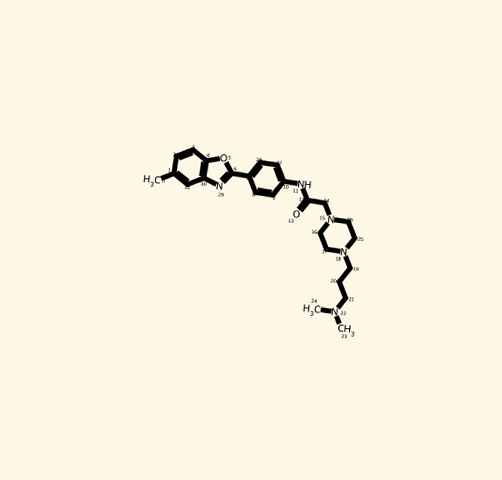 Cc1ccc2oc(-c3ccc(NC(=O)CN4CCN(CCCN(C)C)CC4)cc3)nc2c1